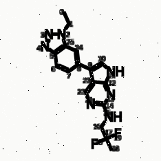 CCn1nnc2ccc(-c3c[nH]c4nc(NCC(C)(F)F)ncc34)cc21